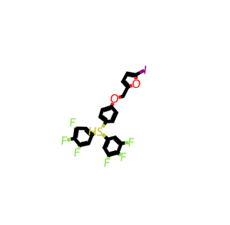 Fc1cc([SH](c2ccc(OCc3ccc(I)o3)cc2)c2cc(F)c(F)c(F)c2)cc(F)c1F